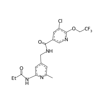 CCC(=O)Nc1cc(CNC(=O)c2cnc(OCC(F)(F)F)c(Cl)c2)cc(C)n1